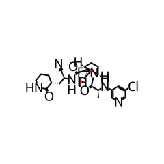 C[C@H](Nc1cncc(Cl)c1)C(=O)N1[C@@H]2CC[C@H]([C@@H]1C(=O)N[C@H](C#N)C[C@H]1CCCNC1=O)C(F)(F)C2